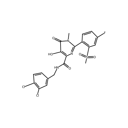 Cn1c(-c2ccc(F)cc2S(C)(=O)=O)nc(C(=O)NCc2ccc(Cl)c(Cl)c2)c(O)c1=O